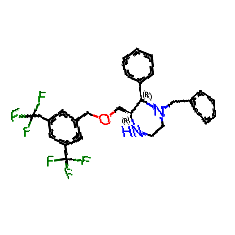 FC(F)(F)c1cc(COC[C@@H]2NCCN(Cc3ccccc3)[C@@H]2c2ccccc2)cc(C(F)(F)F)c1